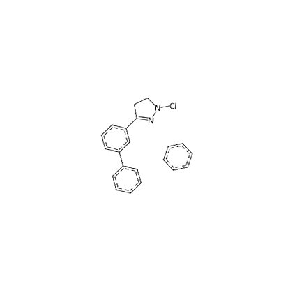 ClN1CCC(c2cccc(-c3ccccc3)c2)=N1.c1ccccc1